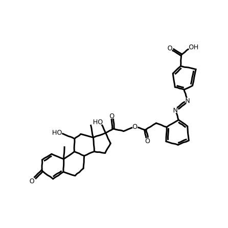 CC12C=CC(=O)C=C1CCC1C2C(O)CC2(C)C1CCC2(O)C(=O)COC(=O)Cc1ccccc1/N=N/c1ccc(C(=O)O)cc1